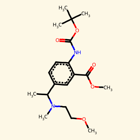 COCCN(C)C(C)c1ccc(NC(=O)OC(C)(C)C)c(C(=O)OC)c1